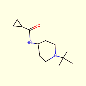 CC(C)(C)N1CCC(NC(=O)C2CC2)CC1